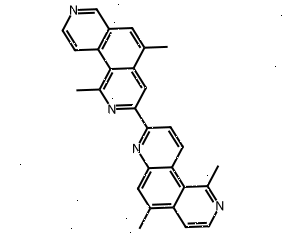 Cc1cc2cnccc2c2c(C)nc(-c3ccc4c(cc(C)c5ccnc(C)c54)n3)cc12